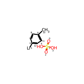 O=S(=O)(O)O.[Li][c]1ccc(C)cc1